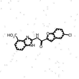 O=C(Nc1nc2c(C(=O)O)cccc2[nH]1)c1cc2cc(Cl)ccc2o1